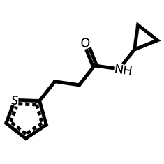 O=C(CCc1cccs1)NC1CC1